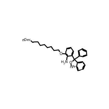 CCCCCCCCCCCCCCCCCCOc1cccc(C(OCCC)(c2ccccc2)c2ccccc2)c1N